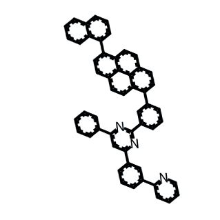 c1ccc(-c2cc(-c3cccc(-c4ccccn4)c3)nc(-c3cccc(-c4ccc5ccc6c(-c7cccc8ccccc78)ccc7ccc4c5c76)c3)n2)cc1